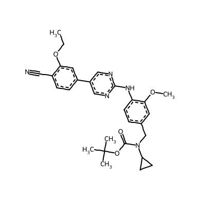 CCOc1cc(-c2cnc(Nc3ccc(CN(C(=O)OC(C)(C)C)C4CC4)cc3OC)nc2)ccc1C#N